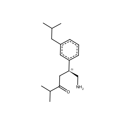 CC(C)Cc1cccc([C@@H](CN)CC(=O)C(C)C)c1